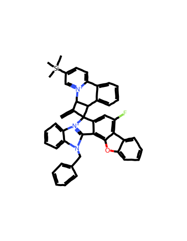 C=C1C2C(c3ccccc3-c3ccc([Si](C)(C)C)c[n+]32)C12c1cc(F)c3c(oc4ccccc43)c1-c1n(Cc3ccccc3)c3ccccc3[n+]12